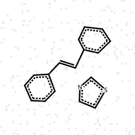 C(=C\c1ccccc1)/c1ccccc1.c1cscn1